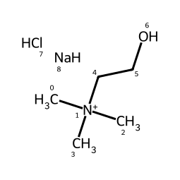 C[N+](C)(C)CCO.Cl.[NaH]